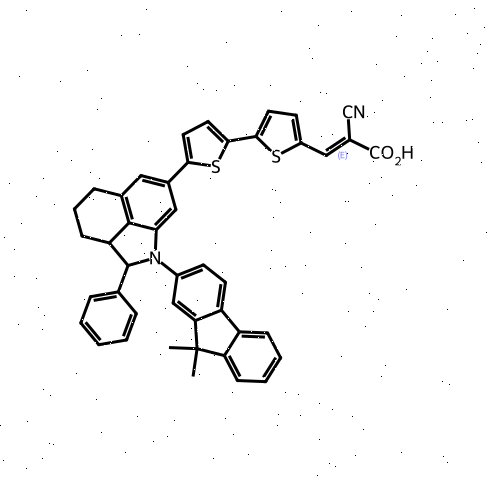 CC1(C)c2ccccc2-c2ccc(N3c4cc(-c5ccc(-c6ccc(/C=C(\C#N)C(=O)O)s6)s5)cc5c4C(CCC5)C3c3ccccc3)cc21